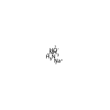 N.N.[Na+].[OH-]